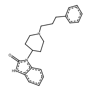 O=c1[nH]c2ccccc2n1C1CCN(CCCc2ccccc2)CC1